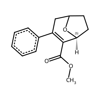 COC(=O)C1=C(c2ccccc2)CC2CC[C@@H]1O2